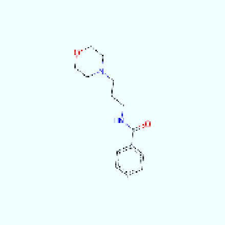 O=C(NCCCN1CCOCC1)c1cc[c]cc1